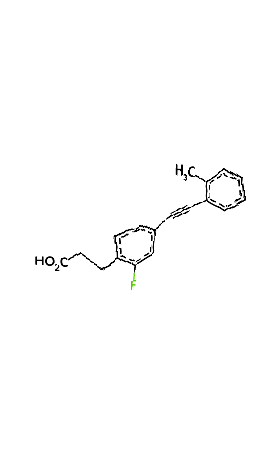 Cc1ccccc1C#Cc1ccc(CCC(=O)O)c(F)c1